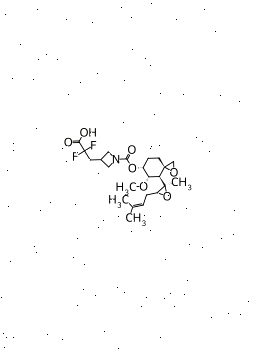 CO[C@@H]1[C@H](OC(=O)N2CC(CC(F)(F)C(=O)O)C2)CC[C@]2(CO2)[C@H]1[C@@]1(C)OC1CC=C(C)C